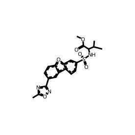 COC(=O)C(NS(=O)(=O)c1ccc2c(c1)oc1ccc(-c3noc(C)n3)cc12)C(C)C